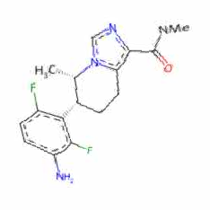 CNC(=O)c1ncn2c1CC[C@H](c1c(F)ccc(N)c1F)[C@@H]2C